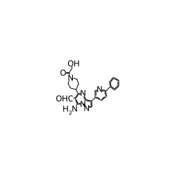 Nc1c(C=O)c(C2CCN(C(=O)CO)CC2)nc2c(-c3ccc(-c4ccccc4)nc3)cnn12